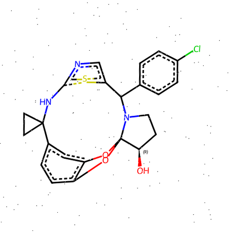 O[C@@H]1CCN2C(c3ccc(Cl)cc3)c3cnc(s3)NC3(CC3)c3ccc4c(c3)OC12O4